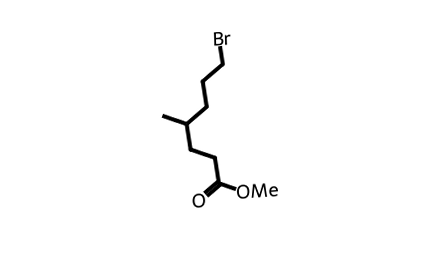 COC(=O)CCC(C)CCCBr